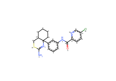 NC1=NC2(c3cccc(NC(=O)c4ccc(Cl)cn4)c3)CCCCC2CS1